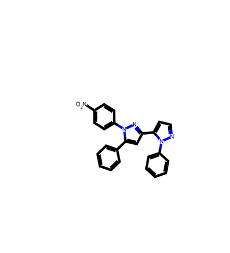 O=[N+]([O-])c1ccc(-n2nc(-c3ccnn3-c3ccccc3)cc2-c2ccccc2)cc1